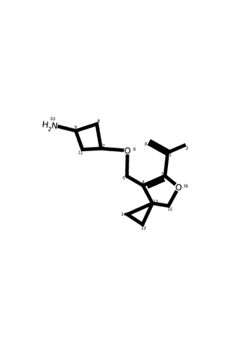 C=C(C)C1=C(COC2CC(N)C2)C2(CC2)CO1